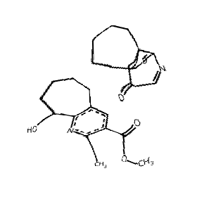 COC(=O)c1cc2c(nc1C)C(O)CCCC2.O=C1C=NC2=COC3CCCCCC23C1